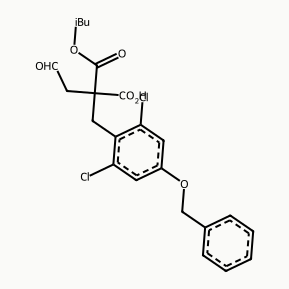 CCC(C)OC(=O)C(CC=O)(Cc1c(Cl)cc(OCc2ccccc2)cc1Cl)C(=O)O